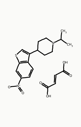 CC(C)N1CCC(c2csc3cc([N+](=O)[O-])ccc23)CC1.O=C(O)C=CC(=O)O